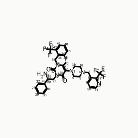 Cc1c(N2CCN(Cc3cccnc3C(F)(F)F)CC2)c(=O)n(C[C@H](N)c2ccccc2)c(=O)n1Cc1c(F)cccc1C(F)(F)F